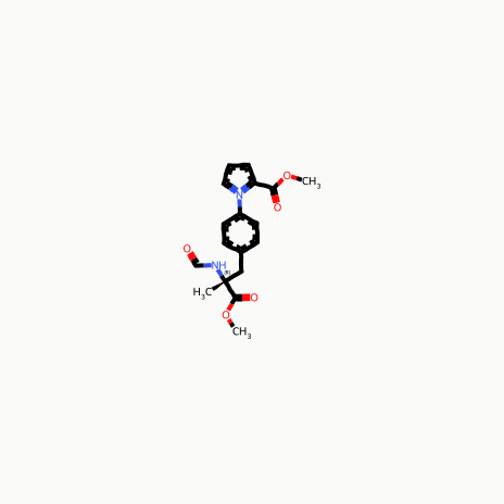 COC(=O)c1cccn1-c1ccc(C[C@@](C)(NC=O)C(=O)OC)cc1